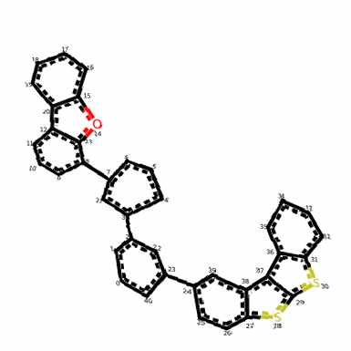 c1cc(-c2cccc(-c3cccc4c3oc3ccccc34)c2)cc(-c2ccc3sc4sc5ccccc5c4c3c2)c1